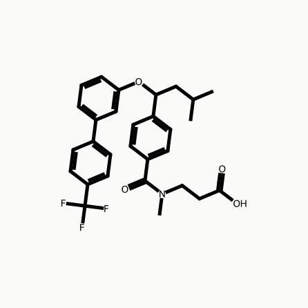 CC(C)CC(Oc1cccc(-c2ccc(C(F)(F)F)cc2)c1)c1ccc(C(=O)N(C)CCC(=O)O)cc1